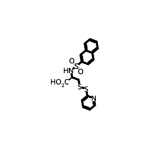 O=C(O)[C@H](CSSc1ccccn1)NS(=O)(=O)c1ccc2ccccc2c1